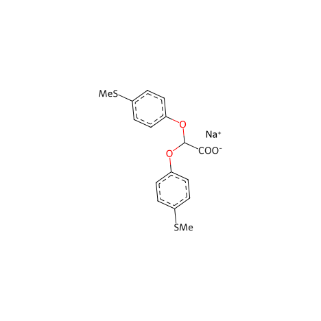 CSc1ccc(OC(Oc2ccc(SC)cc2)C(=O)[O-])cc1.[Na+]